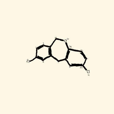 Clc1ccc2c(c1)Cc1cc(Cl)ccc1OC2